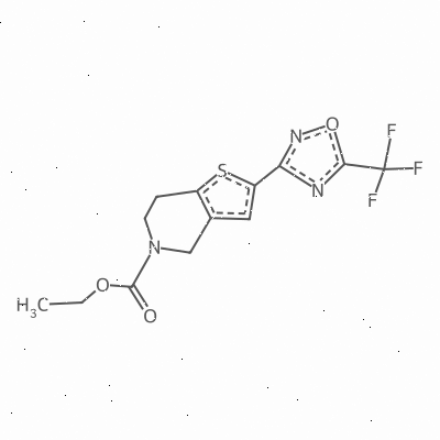 CCOC(=O)N1CCc2sc(-c3noc(C(F)(F)F)n3)cc2C1